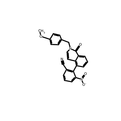 COc1ccc(Cn2ccc3c(-c4c(C#N)cccc4[N+](=O)[O-])cccc3c2=O)cc1